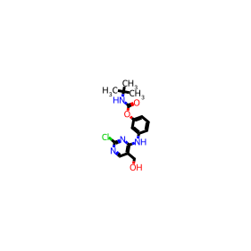 CC(C)(C)NC(=O)Oc1cccc(Nc2nc(Cl)ncc2CO)c1